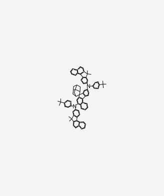 CC(C)(C)c1ccc(N(c2ccc3c(c2)C(C)(C)c2ccc4ccccc4c2-3)c2ccc3c(c2)C2(c4cc(N(c5ccc(C(C)(C)C)cc5)c5ccc6c(c5)C(C)(C)c5ccc7ccccc7c5-6)c5ccccc5c4-3)C3CC4CC(C3)CC2C4)cc1